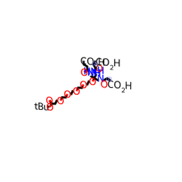 CC(C)(C)OC(=O)CCOCCOCCOCCOCCOC(CNC(=O)/C=C\C(=O)O)(CNC(=O)/C=C\C(=O)O)CNC(=O)CCC(=O)O